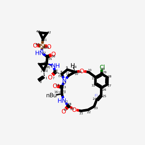 C=C[C@@H]1C[C@]1(NC(=O)[C@@H]1C[C@@H]2CN1C(=O)[C@H](CCCC)NC(=O)OCCC/C=C/c1ccc(Cl)c(c1)CO2)C(=O)NS(=O)(=O)C1CC1